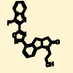 O=C1CC2Cc3c(-c4noc(-c5nc6ccccn6c5F)n4)cccc3C2N1CCO